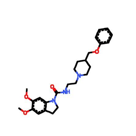 COc1cc2c(cc1OC)N(C(=O)NCCN1CCC(COc3ccccc3)CC1)CC2